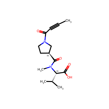 CC#CC(=O)N1CC[C@H](C(=O)N(C)[C@H](C(=O)O)C(C)C)C1